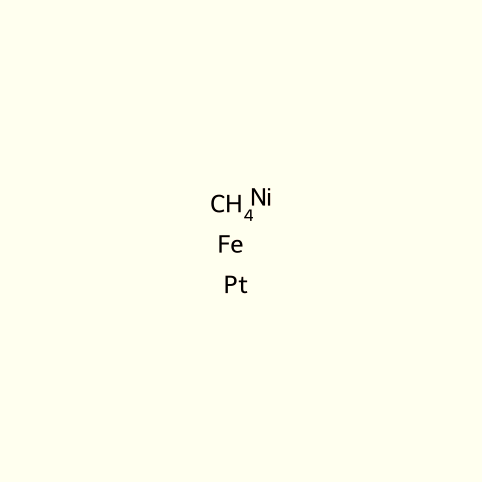 C.[Fe].[Ni].[Pt]